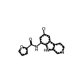 O=C(Nc1cc(Cl)cc2c1[nH]c1cnccc12)c1ccco1